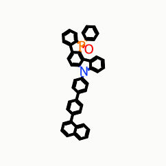 O=P1(c2ccccc2)c2ccccc2-c2ccc3c(c21)c1ccccc1n3-c1ccc(-c2ccc(-c3cccc4ccccc34)cc2)cc1